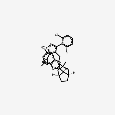 CC1(OCc2c(-c3c(Cl)cccc3Cl)noc2C2CC2)C[C@H]2CC[C@@H](C1)C2(O)c1nc2c(F)cc(C#N)cc2s1